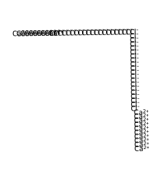 [Ca+2].[Ca+2].[Ca+2].[Ca+2].[Ca+2].[Ca+2].[Ca+2].[Ca+2].[Ca+2].[Ca+2].[Ca+2].[Ca+2].[Ca+2].[Ca+2].[Ca+2].[Ca+2].[Ca+2].[Ca+2].[Ca+2].[Ca+2].[Cl-].[Cl-].[Cl-].[Cl-].[Cl-].[Cl-].[Cl-].[Cl-].[Cl-].[Cl-].[Cl-].[Cl-].[Cl-].[Cl-].[Cl-].[Cl-].[Cl-].[Cl-].[Cl-].[Cl-].[Cl-].[Cl-].[Cl-].[Cl-].[Cl-].[Cl-].[Cl-].[Cl-].[Cl-].[Cl-].[Cl-].[Cl-].[Cl-].[Cl-].[Cl-].[Cl-].[Cl-].[Cl-].[Cl-].[Cl-]